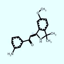 COc1ccc2c(c1)/C(=C/C(=O)c1cccc(N)c1)NC2(C)C